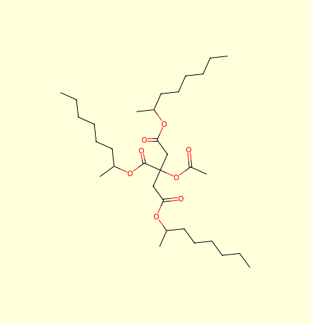 CCCCCCC(C)OC(=O)CC(CC(=O)OC(C)CCCCCC)(OC(C)=O)C(=O)OC(C)CCCCCC